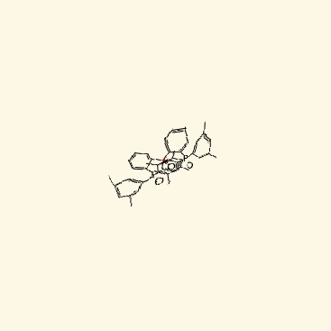 Cc1cc(C)cc(P(=O)(c2cc(C)cc(C)c2)c2ccccc2C(=O)c2ccccc2P(=O)(c2cc(C)cc(C)c2)c2cc(C)cc(C)c2)c1